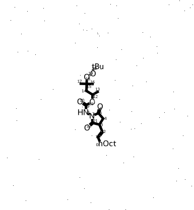 CCCCCCCCC=CC1CC(=O)N(NC(=O)OC(C)CC(C)(C)OOC(C)(C)C)C1=O